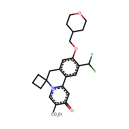 CCOC(=O)c1cn2c(cc1=O)-c1cc(C(F)F)c(OCC3CCOCC3)cc1CC21CCC1